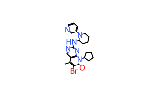 Cc1c(Br)c(=O)n(C2CCCC2)c2nc(NC3CCCCN3c3cccnc3)ncc12